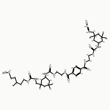 CC(CCOC(=O)NCC1(C)CC(NC(=O)OCCOC(=O)c2ccc(C(=O)OCCOC(=O)NC3CC(C)(C)CC(C)(CN=C=O)C3)cc2)CC(C)(C)C1)CCOC(C)C